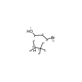 C[SiH](C)C(C)(C)C.OCCCBr